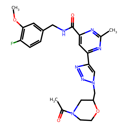 COc1cc(CNC(=O)c2cc(-c3cn(CC4CN(C(C)=O)CCO4)nn3)nc(C)n2)ccc1F